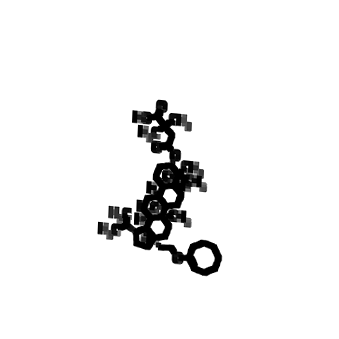 C=C(C)[C@@H]1CC[C@]2(CCO/C3=C/CCCCCC3)CC[C@]3(C)[C@H](CC[C@@H]4[C@@]5(C)CC[C@H](OC(=O)CC(C)(C)C(=O)O)C(C)(C)[C@@H]5CC[C@]43C)[C@@H]12